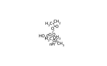 C=C(C)C(=O)OCCOC(C)(OOC(C)(C)CCC)OC(=O)O